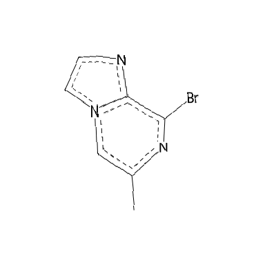 Cc1cn2ccnc2c(Br)n1